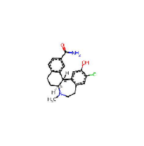 CN1CCc2cc(Cl)c(O)cc2[C@H]2c3cc(C(N)=O)ccc3CC[C@@H]21